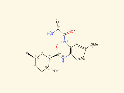 CC[C@@H](N)C(=O)Nc1cc(OC)ccc1NC(=O)[C@@H]1C[C@H](C)CC[C@H]1C(C)C